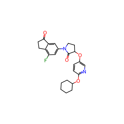 O=C1CCc2c(F)cc(N3CCC(Oc4ccc(OC5CCCCC5)nc4)C3=O)cc21